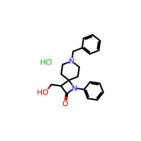 Cl.O=C1C(CO)C2(CCN(Cc3ccccc3)CC2)N1c1ccccc1